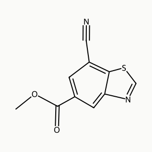 COC(=O)c1cc(C#N)c2scnc2c1